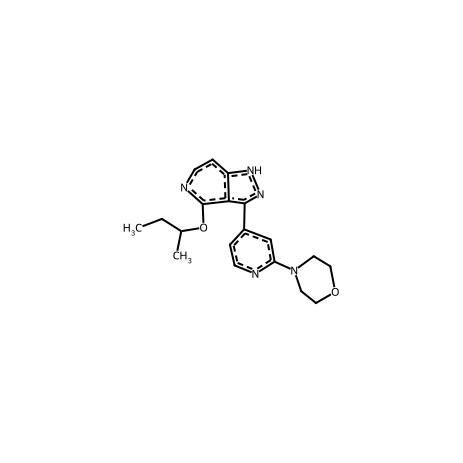 CCC(C)Oc1nccc2[nH]nc(-c3ccnc(N4CCOCC4)c3)c12